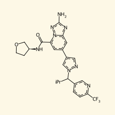 CC(C)C(c1ccc(C(F)(F)F)nc1)n1cc(-c2cc(C(=O)N[C@H]3CCOC3)n3nc(N)nc3c2)cn1